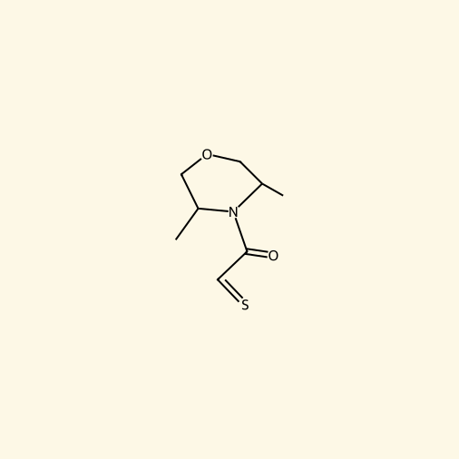 CC1COCC(C)N1C(=O)C=S